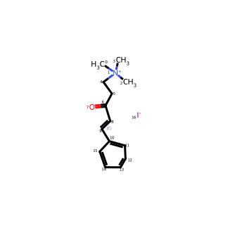 C[N+](C)(C)CCC(=O)/C=C/c1ccccc1.[I-]